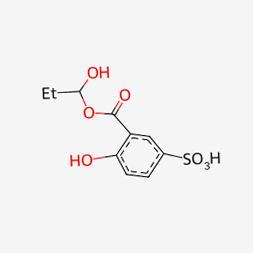 CCC(O)OC(=O)c1cc(S(=O)(=O)O)ccc1O